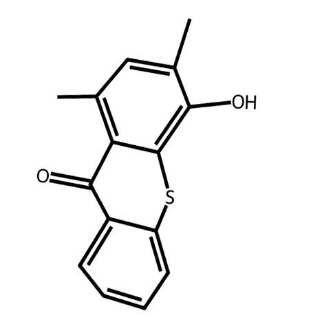 Cc1cc(C)c2c(=O)c3ccccc3sc2c1O